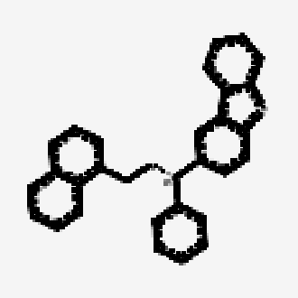 c1ccc([C@H](CCc2cccc3ccccc23)c2ccc3sc4ccccc4c3c2)cc1